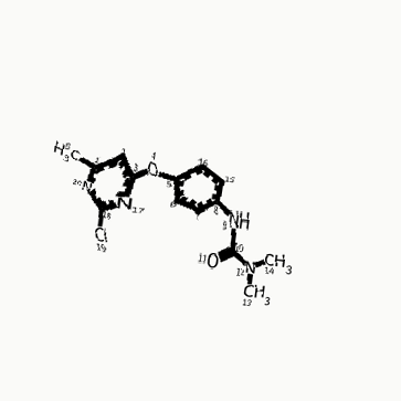 Cc1cc(Oc2ccc(NC(=O)N(C)C)cc2)nc(Cl)n1